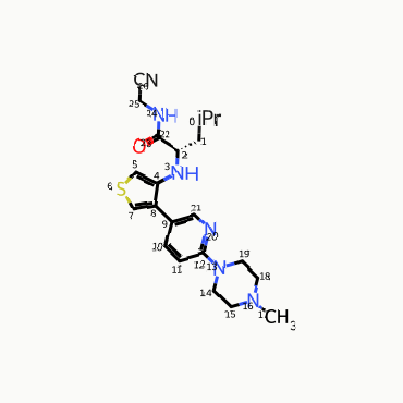 CC(C)C[C@H](Nc1cscc1-c1ccc(N2CCN(C)CC2)nc1)C(=O)NCC#N